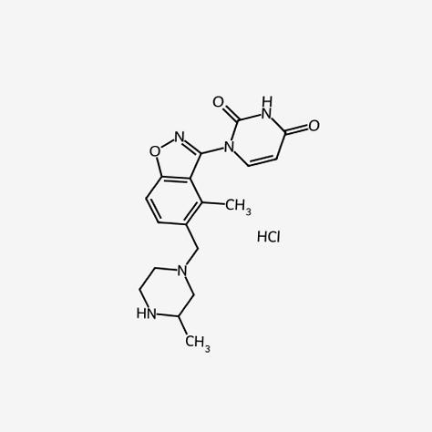 Cc1c(CN2CCNC(C)C2)ccc2onc(-n3ccc(=O)[nH]c3=O)c12.Cl